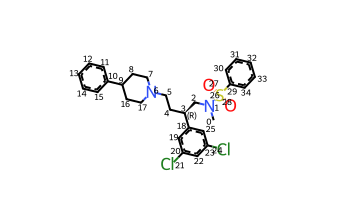 CN(C[C@H](CCN1CCC(c2ccccc2)CC1)c1cc(Cl)cc(Cl)c1)S(=O)(=O)c1ccccc1